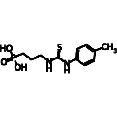 Cc1ccc(NC(=S)NCCCP(=O)(O)O)cc1